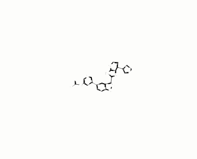 CCCC(=O)Nc1cncc(-c2ccc3[nH]nc(-c4nc5c(-c6ccsc6)ccnc5[nH]4)c3c2)c1